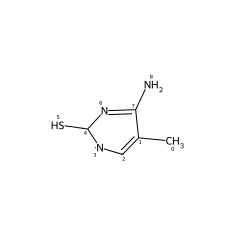 CC1=C[N]C(S)N=C1N